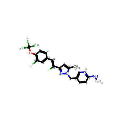 CNc1ccc(Cn2nc(C(F)=Cc3ccc(OC(F)(F)F)c(F)c3)cc2C)cn1